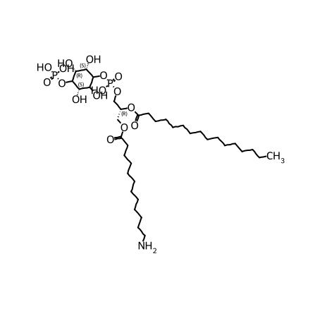 CCCCCCCCCCCCCCCC(=O)O[C@H](COC(=O)CCCCCCCCCCCN)COP(=O)(O)OC1C(O)[C@H](O)C(OP(=O)(O)O)[C@H](O)[C@@H]1O